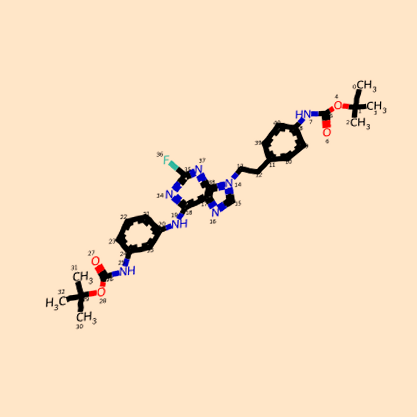 CC(C)(C)OC(=O)Nc1ccc(CCn2cnc3c(Nc4cccc(NC(=O)OC(C)(C)C)c4)nc(F)nc32)cc1